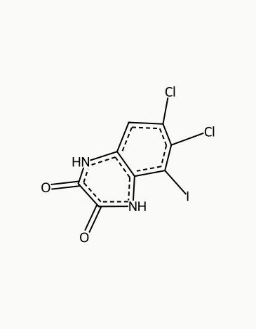 O=c1[nH]c2cc(Cl)c(Cl)c(I)c2[nH]c1=O